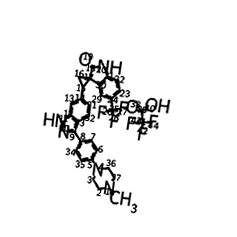 CN1CCN(c2ccc(-c3n[nH]c4cc(C5CC56C(=O)Nc5ccc(C(F)(F)F)cc56)ccc34)cc2)CC1.O=C(O)C(F)(F)F